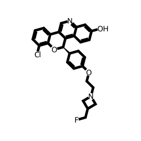 Oc1ccc2c3c(cnc2c1)-c1cccc(Cl)c1O[C@@H]3C1C=CC(OCCN2CC(CF)C2)=CC1